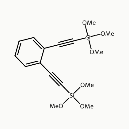 CO[Si](C#Cc1ccccc1C#C[Si](OC)(OC)OC)(OC)OC